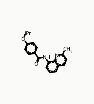 Cc1ccc2cccc(NC(=O)c3ccc(OC(C)C)cc3)c2n1